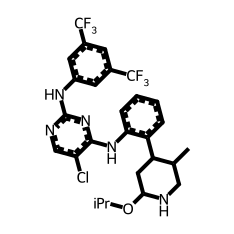 CC(C)OC1CC(c2ccccc2Nc2nc(Nc3cc(C(F)(F)F)cc(C(F)(F)F)c3)ncc2Cl)C(C)CN1